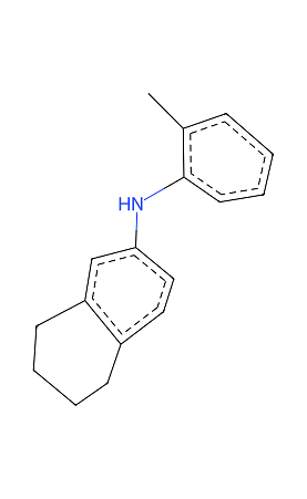 Cc1ccccc1Nc1ccc2c(c1)CCCC2